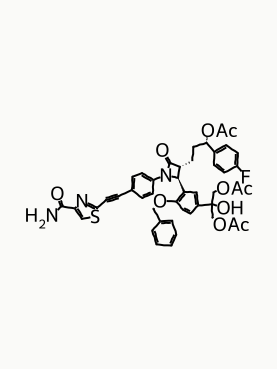 CC(=O)OCC(O)(COC(C)=O)c1ccc(OCc2ccccc2)c([C@@H]2[C@@H](CC[C@H](OC(C)=O)c3ccc(F)cc3)C(=O)N2c2ccc(C#Cc3nc(C(N)=O)cs3)cc2)c1